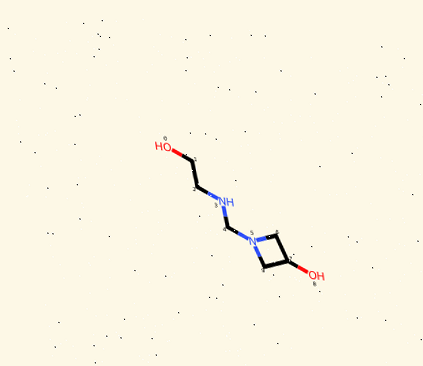 OCCNCN1CC(O)C1